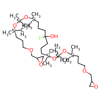 C[Si](C)(CCCOCC1CO1)O[Si](C)(C)O[Si](C)(C)CCCC(O)(F)CCC[Si](C)(C)O[Si](C)(C)O[Si](C)(C)CCCOCC1CO1